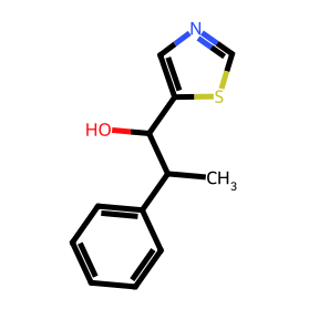 CC(c1ccccc1)C(O)c1cncs1